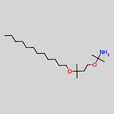 CCCCCCCCCCCCOC(C)(C)CCOC(C)(C)N